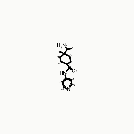 CC(N)C1(C)CCC(C(=O)Nc2ccncc2)CC1